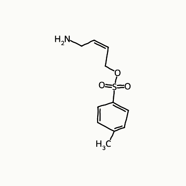 Cc1ccc(S(=O)(=O)OC/C=C\CN)cc1